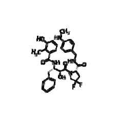 CNc1ccc(CNC(=O)[C@@H]2CC(F)(F)CN2C(=O)[C@@H](O)[C@H](Cc2ccccc2)NC(=O)c2cccc(O)c2C)cc1